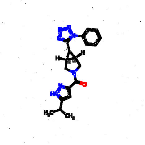 CC(C)c1cc(C(=O)N2C[C@@H]3C(c4nnnn4-c4ccccc4)[C@@H]3C2)n[nH]1